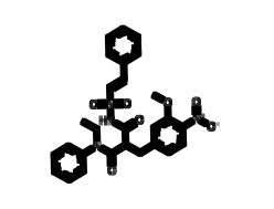 CCN(C(=O)C(Cc1ccc([N+](=O)[O-])c(OC)c1)C(=O)NS(=O)(=O)/C=C/c1ccccc1)c1ccccc1